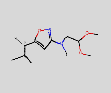 [CH2][C@H](c1cc(N(C)CC(OC)OC)no1)C(C)C